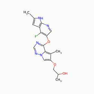 Cc1cc2c(F)c(Oc3ncnn4cc(OCC(C)O)c(C)c34)cnc2[nH]1